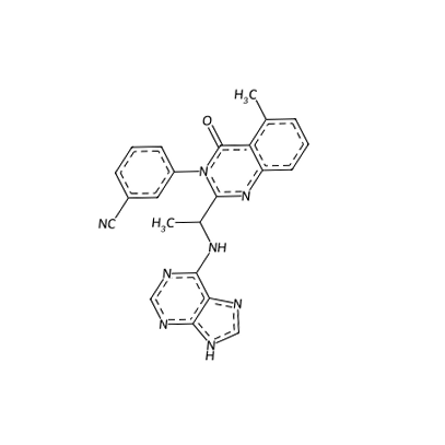 Cc1cccc2nc(C(C)Nc3ncnc4[nH]cnc34)n(-c3cccc(C#N)c3)c(=O)c12